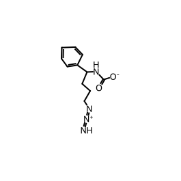 N=[N+]=NCCCC(NC(=O)[O-])c1ccccc1